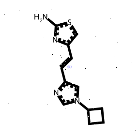 Nc1nc(/C=C/c2cn(C3CCC3)cn2)cs1